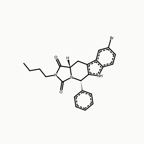 CCCCN1C(=O)[C@@H]2Cc3c([nH]c4ccc(Br)cc34)[C@H](c3ccccc3)N2C1=O